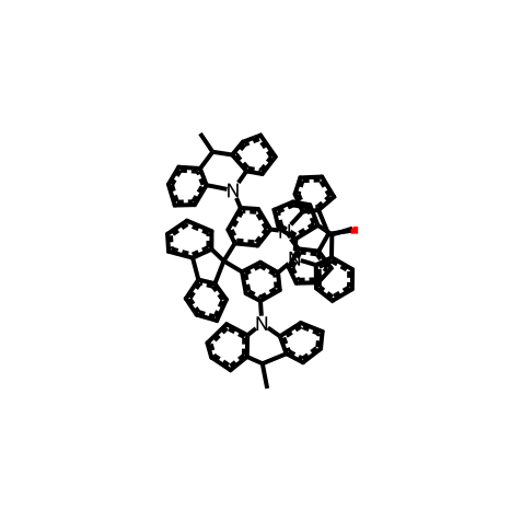 CC1c2ccccc2N(c2cc(N3c4ccccc4C(C)c4ccccc43)cc(C3(c4cc(N5c6ccccc6C(C)c6ccccc65)cc(N5c6ccccc6C(C)c6ccccc65)c4)c4ccccc4-c4ccccc43)c2)c2ccccc21